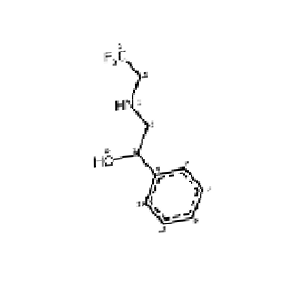 OC(CNCC(F)(F)F)c1ccccc1